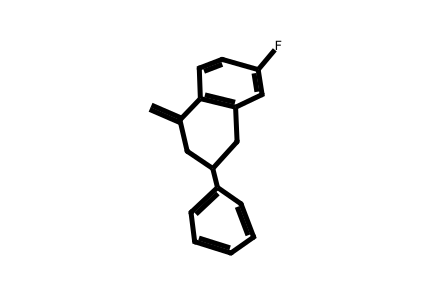 C=C1CC(c2ccccc2)Cc2cc(F)ccc21